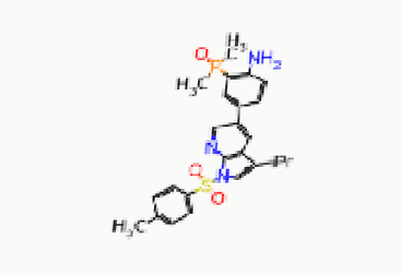 Cc1ccc(S(=O)(=O)n2cc(C(C)C)c3cc(-c4ccc(N)c(P(C)(C)=O)c4)cnc32)cc1